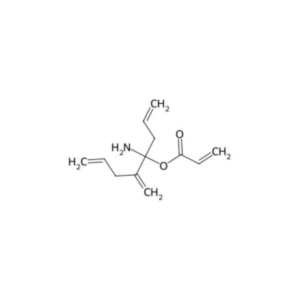 C=CCC(=C)C(N)(CC=C)OC(=O)C=C